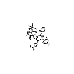 COC(=O)[C@]1(NC(=O)OC(C)(C)C)CC2=C(c3ccn(C(F)F)n3)[C@H](c3ccc(F)cc3Cl)N=C(c3nccs3)N2C1